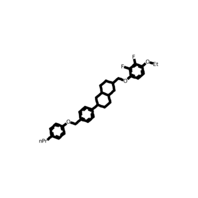 CCCc1ccc(OCc2ccc(C3CCC4CC(COc5ccc(OCC)c(F)c5F)CCC4C3)cc2)cc1